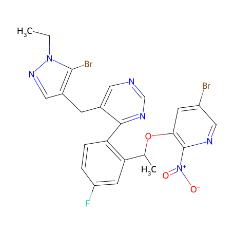 CCn1ncc(Cc2cncnc2-c2ccc(F)cc2C(C)Oc2cc(Br)cnc2[N+](=O)[O-])c1Br